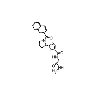 CNC(=O)CNC(=O)c1csc(C2CCCN2C(=O)c2ccc3ccccc3c2)n1